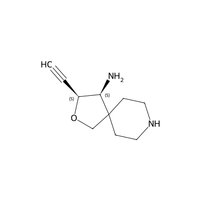 C#C[C@@H]1OCC2(CCNCC2)[C@@H]1N